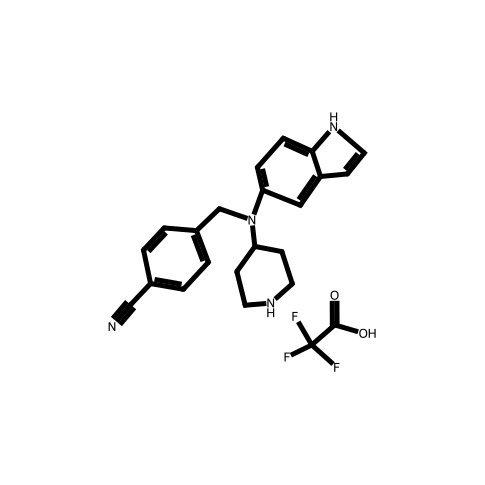 N#Cc1ccc(CN(c2ccc3[nH]ccc3c2)C2CCNCC2)cc1.O=C(O)C(F)(F)F